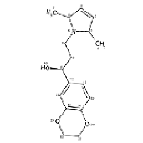 CC1C=CC(C)N1CC[C@H](O)c1ccc2c(c1)OCCO2